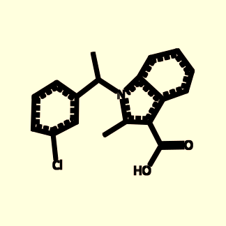 Cc1c(C(=O)O)c2ccccc2n1C(C)c1cccc(Cl)c1